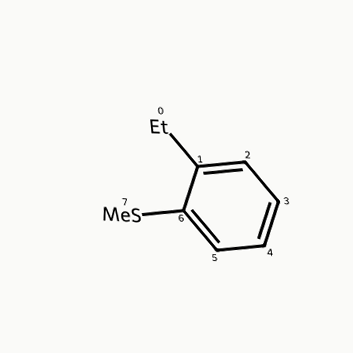 CCc1ccccc1SC